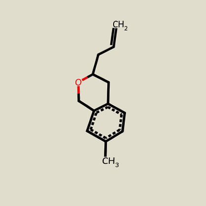 C=CCC1Cc2ccc(C)cc2CO1